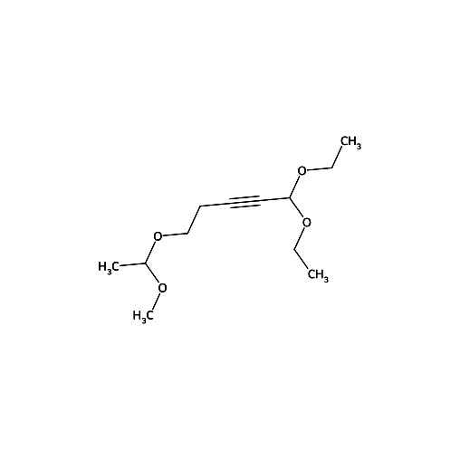 CCOC(C#CCCOC(C)OC)OCC